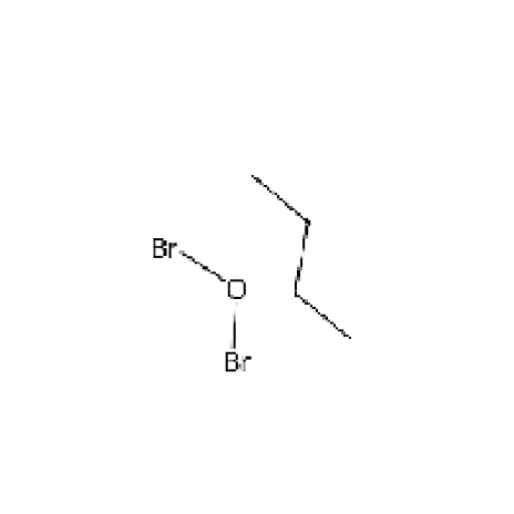 BrOBr.CCCC